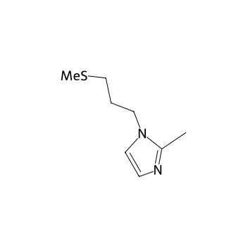 CSCCCn1ccnc1C